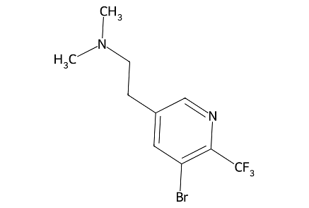 CN(C)CCc1cnc(C(F)(F)F)c(Br)c1